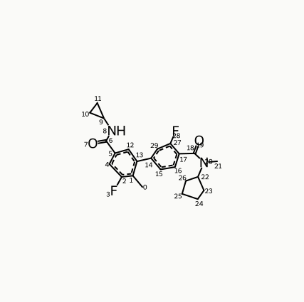 Cc1c(F)cc(C(=O)NC2CC2)cc1-c1ccc(C(=O)N(C)C2CCCC2)c(F)c1